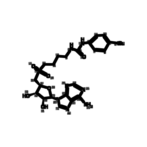 CC(C)(C)c1ccc(NC(=O)NCCCCS(=O)(=O)C[C@H]2O[C@@H](n3cnc4c(N)ncnc43)[C@H](O)[C@@H]2O)cc1